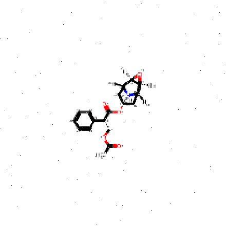 CC(=O)OC[C@@H](C(=O)O[C@@H]1C[C@@H]2[C@H]3O[C@H]3[C@H](C1)N2C)c1ccccc1